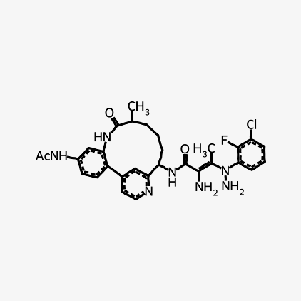 CC(=O)Nc1ccc2c(c1)NC(=O)C(C)CCCC(NC(=O)/C(N)=C(\C)N(N)c1cccc(Cl)c1F)c1cc-2ccn1